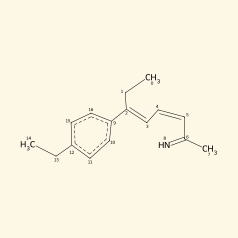 CC/C(=C\C=C/C(C)=N)c1ccc(CC)cc1